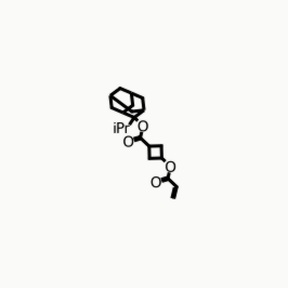 C=CC(=O)OC1CC(C(=O)OC2(C(C)C)C3CC4CC(C3)CC2C4)C1